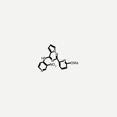 COc1cccc(-c2nc(Nc3ccncc3[N+](=O)[O-])c3cccn3n2)n1